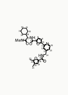 CNC(=O)[C@@H](NC(=O)c1ccc(-c2cc(CNC(=O)c3cc(C)c(C)o3)ccn2)o1)C1CCCCC1